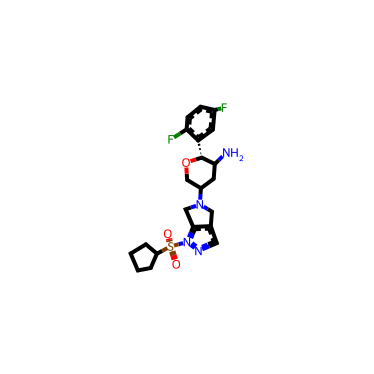 NC1CC(N2Cc3cnn(S(=O)(=O)C4CCCC4)c3C2)CO[C@@H]1c1cc(F)ccc1F